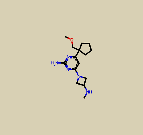 CNC1CN(c2cc(C3(COC)CCCC3)nc(N)n2)C1